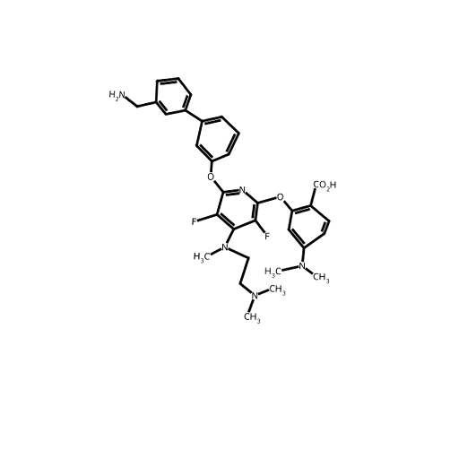 CN(C)CCN(C)c1c(F)c(Oc2cccc(-c3cccc(CN)c3)c2)nc(Oc2cc(N(C)C)ccc2C(=O)O)c1F